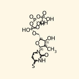 C[C@@H]1[C@H](O)[C@@H](COP(=O)(O)OP(=O)(O)OP(=O)(O)O)O[C@H]1n1ccc(=S)[nH]c1=O